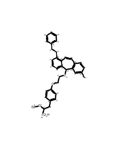 CCOC(Cc1ccc(OCCOC2c3cc(C)ccc3C=Cc3c(CCc4ccccc4)cccc32)cc1)C(=O)O